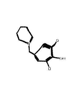 Oc1c(Cl)cc(CN2CCCCC2)cc1Cl